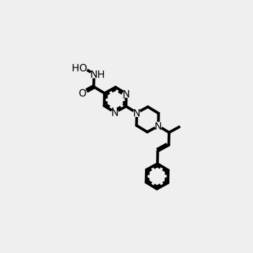 CC(/C=C/c1ccccc1)N1CCN(c2ncc(C(=O)NO)cn2)CC1